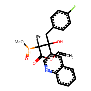 C=COC(=O)C(C(C)C)([PH](=O)OC)C(O)(Cc1ccc(F)cc1)c1cnc2ccccc2c1